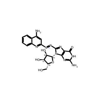 Nc1nc2c(nc(/N=N/c3cc(N)c4ccccc4n3)n2[C@@H]2O[C@H](CO)[C@@H](O)[C@H]2O)c(=O)[nH]1